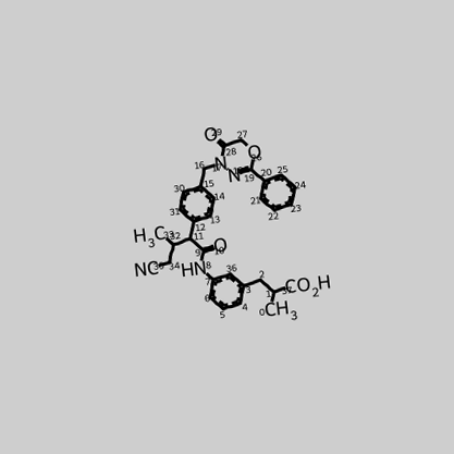 CC(Cc1cccc(NC(=O)C(c2ccc(CN3N=C(c4ccccc4)OCC3=O)cc2)C(C)CC#N)c1)C(=O)O